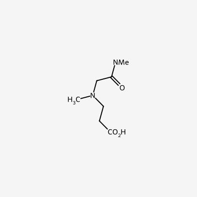 CNC(=O)CN(C)CCC(=O)O